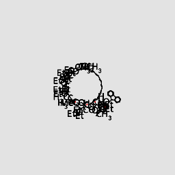 CC[Si](CC)(CC)OC1CCC(O[Si](CC)(CC)CC)C(C)CC(C)CC2(OC)C[C@H](O[Si](CC)(CC)CC)C(C(=O)O)[C@H](CC(O[C@@H]3O[C@H](C)C(O[Si](CC)(CC)CC)[C@H](NC(=O)OCC4c5ccccc5-c5ccccc54)[C@@H]3C)/C=C/C=C/C=C/C=C/C=C/C=C/C=C/[C@H](C)C(O)[C@@H](C)[C@H](C)OC(=O)CC(O[Si](CC)(CC)CC)C1)O2